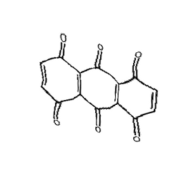 O=c1ccc(=O)c2c(=O)c3c(=O)ccc(=O)c3c(=O)c12